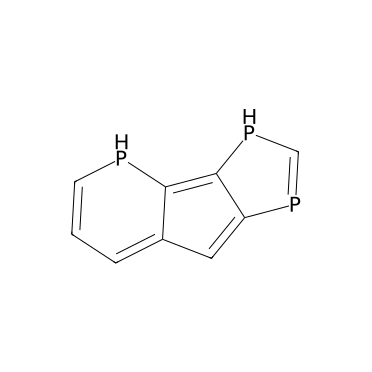 c1c[pH]c2c3[pH]cpc3cc-2c1